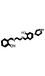 C1CCNC1.Oc1ccccc1/C=N/CC/N=C/c1ccccc1O